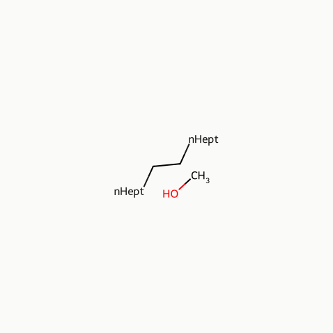 CCCCCCCCCCCCCCCC.CO